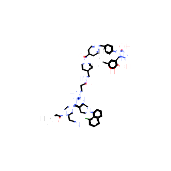 C=CC(=O)N1CCN(c2nc(NCCC(=O)NCC3CCN(C(=O)C4CCN(Cc5ccc(-n6c(O)nnc6-c6cc(C(C)C)c(O)cc6O)cc5)CC4)CC3)nc3c2CCN(c2cccc4cccc(Cl)c24)C3)CC1CC#N